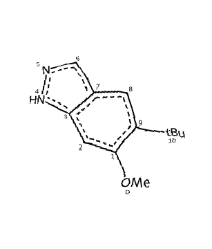 COc1cc2[nH]ncc2cc1C(C)(C)C